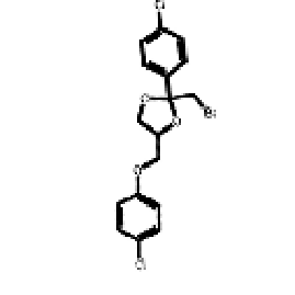 Clc1ccc(OCC2COC(CBr)(c3ccc(Cl)cc3)O2)cc1